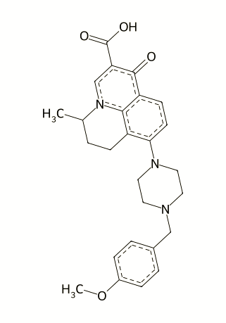 COc1ccc(CN2CCN(c3ccc4c(=O)c(C(=O)O)cn5c4c3CCC5C)CC2)cc1